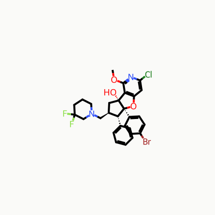 COc1nc(Cl)cc2c1[C@]1(O)C[C@H](CN3CCCC(F)(F)C3)[C@@H](c3ccccc3)[C@]1(c1ccc(Br)cc1)O2